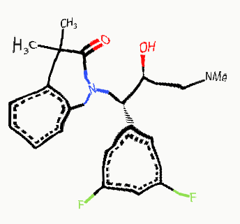 CNC[C@H](O)[C@H](c1cc(F)cc(F)c1)N1C(=O)C(C)(C)c2ccccc21